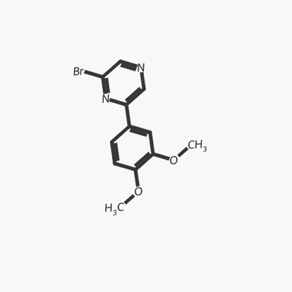 COc1ccc(-c2cncc(Br)n2)cc1OC